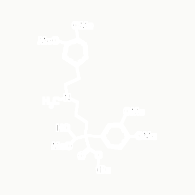 COc1ccc(CCN(C)CCCC(C(=O)OC(C)(C)C)(c2ccc(OC)c(OC)c2)C(O)OC)cc1OC